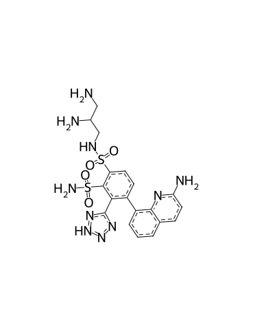 NCC(N)CNS(=O)(=O)c1ccc(-c2cccc3ccc(N)nc23)c(-c2nn[nH]n2)c1S(N)(=O)=O